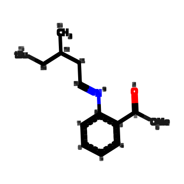 COC(=O)c1ccccc1N=CCC(C)CC(C)(C)C